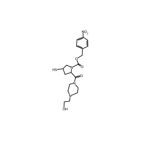 O=C(C1CC(S)CN1C(=O)OCc1ccc([N+](=O)[O-])cc1)N1CCN(CCO)CC1